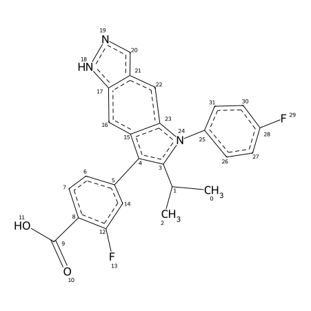 CC(C)c1c(-c2ccc(C(=O)O)c(F)c2)c2cc3[nH]ncc3cc2n1-c1ccc(F)cc1